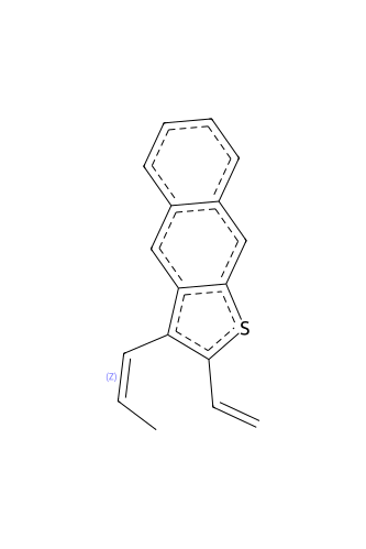 C=Cc1sc2cc3ccccc3cc2c1/C=C\C